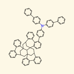 c1ccc(-c2ccc(N(c3ccc(-c4ccccc4)cc3)c3ccc(-c4cccc5c4-c4ccccc4C4CC67CC(CC89CC(CC5(C4)C86)c4ccccc4-c4ccccc49)c4ccccc4-c4ccccc47)cc3)cc2)cc1